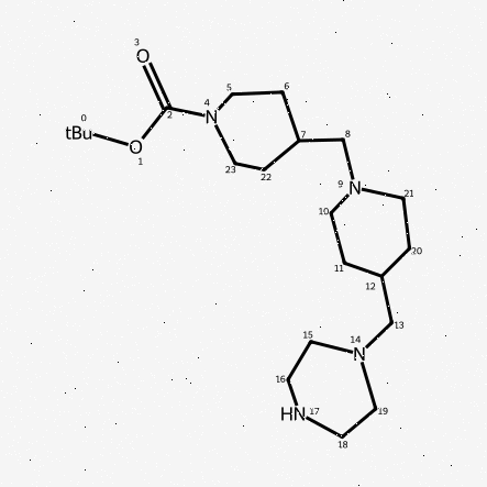 CC(C)(C)OC(=O)N1CCC(CN2CCC(CN3CCNCC3)CC2)CC1